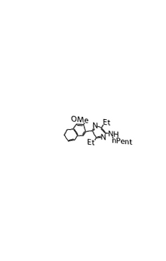 CCCCCNc1nc(CC)c(-c2cc3c(cc2OC)CCC=C3)nc1CC